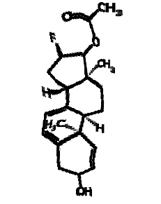 CC(=O)OC1C(F)C[C@H]2C3=CC=C4CC(O)C=C[C@]4(C)[C@@H]3CC[C@]12C